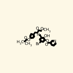 COCC(=O)C(Cc1ccc(OC(=O)C(C)C)cc1)N=Cc1cc(Br)cc(OC(=O)c2cccnc2)c1O